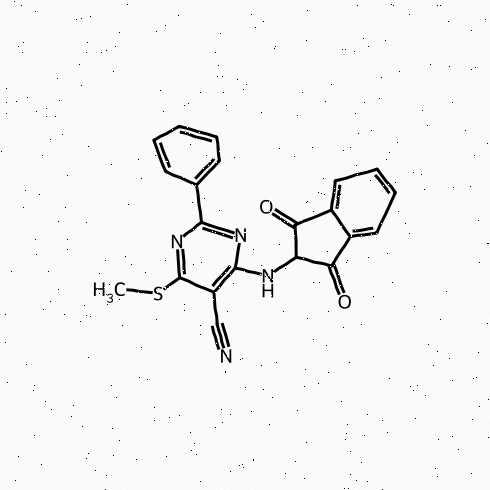 CSc1nc(-c2ccccc2)nc(NC2C(=O)c3ccccc3C2=O)c1C#N